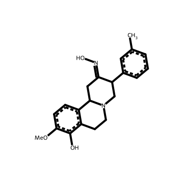 COc1ccc2c(c1O)CCN1CC(c3cccc(C)c3)C(=NO)CC21